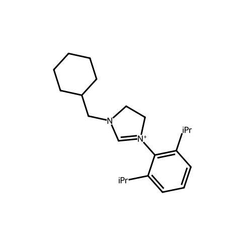 CC(C)c1cccc(C(C)C)c1[N+]1=CN(CC2CCCCC2)CC1